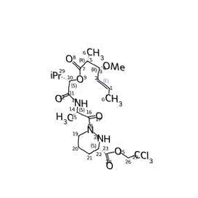 C/C=C/[C@@H](OC)[C@@H](C)C(=O)O[C@H](C(=O)N[C@@H](C)C(=O)N1CCC[C@@H](C(=O)OCC(Cl)(Cl)Cl)N1)C(C)C